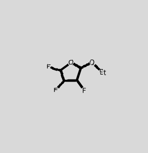 CCOC1OC(F)C(F)C1F